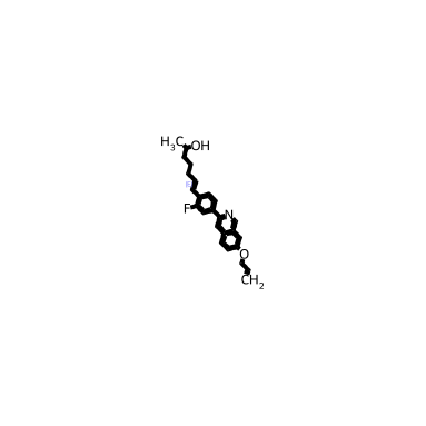 C=CCOc1ccc2cc(-c3ccc(/C=C/CCCC(C)O)c(F)c3)ncc2c1